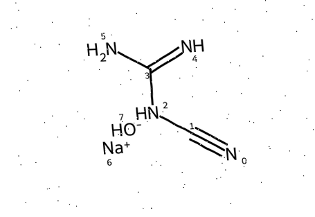 N#CNC(=N)N.[Na+].[OH-]